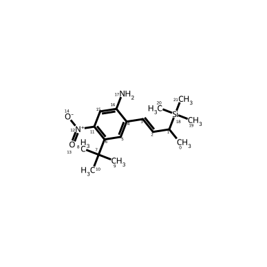 CC(/C=C/c1cc(C(C)(C)C)c([N+](=O)[O-])cc1N)[Si](C)(C)C